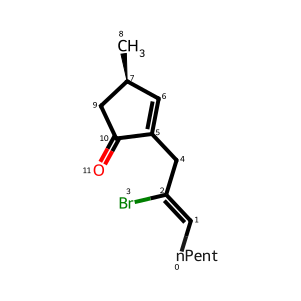 CCCCC/C=C(\Br)CC1=C[C@H](C)CC1=O